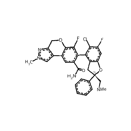 CNC[C@@]1(c2ccccc2)Cc2c(cc(F)c(Cl)c2-c2c(C(N)=O)cc3c(c2F)OCc2nn(C)cc2-3)O1